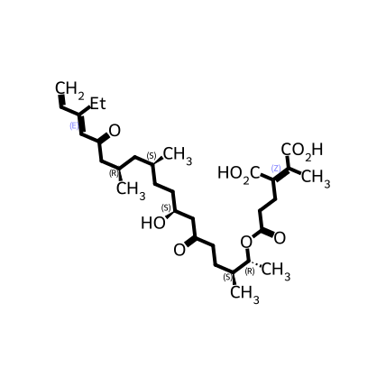 C=C/C(=C/C(=O)C[C@H](C)C[C@@H](C)CC[C@H](O)CC(=O)CC[C@H](C)[C@@H](C)OC(=O)CC/C(C(=O)O)=C(\C)C(=O)O)CC